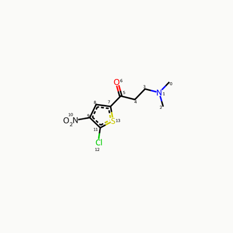 CN(C)CCC(=O)c1cc([N+](=O)[O-])c(Cl)s1